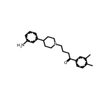 Cc1ccc(C(=O)CCCN2CCC(c3cccc(N)c3)CC2)cc1C